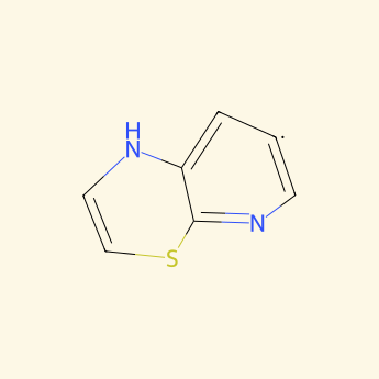 [c]1cnc2c(c1)NC=CS2